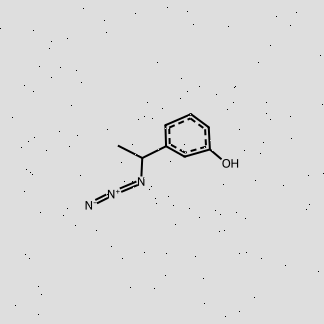 CC(N=[N+]=[N-])c1cccc(O)c1